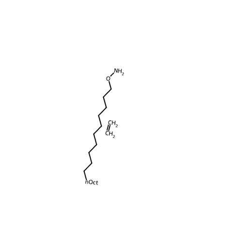 C=C.CCCCCCCCCCCCCCCCCCON